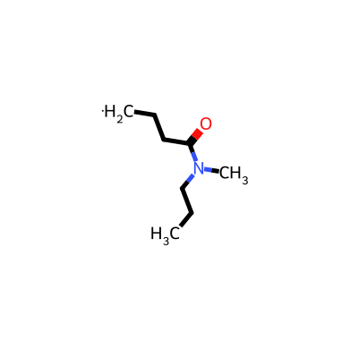 [CH2]CCC(=O)N(C)CCC